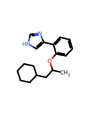 CC(CC1CCCCC1)Oc1ccccc1-c1c[nH]cn1